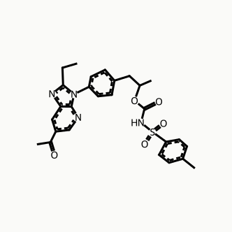 CCc1nc2cc(C(C)=O)cnc2n1-c1ccc(CC(C)OC(=O)NS(=O)(=O)c2ccc(C)cc2)cc1